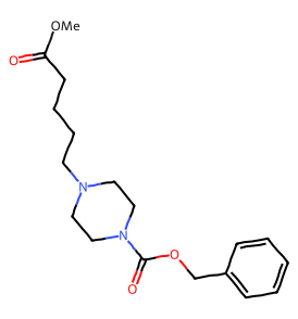 COC(=O)CCCCN1CCN(C(=O)OCc2ccccc2)CC1